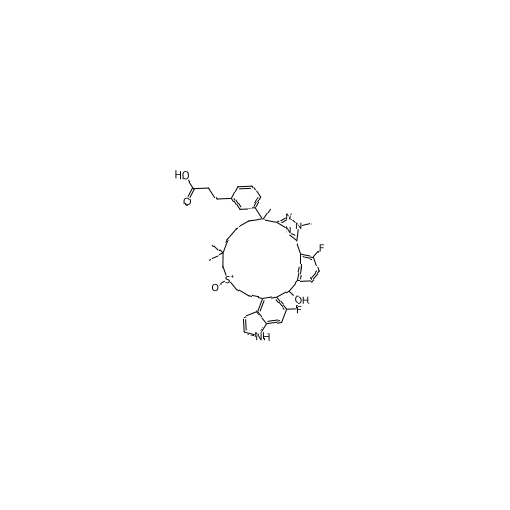 Cn1nc2nc1-c1cc(ccc1F)C(O)c1c(F)cc3[nH]ccc3c1CC[S+]([O-])CC(C)(C)CCCC2(C)c1cccc(CCC(=O)O)c1